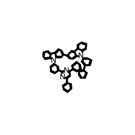 c1ccc(-c2cccc(-n3c4ccccc4c4cc(-c5ccc6c7ccccc7n(-c7cccc(-c8nc(-c9ccccc9)cc(-c9ccccc9)n8)c7)c6c5)ccc43)c2)cc1